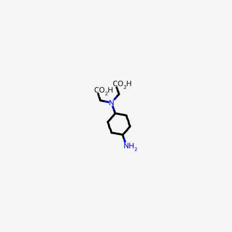 NC1CCC(N(CC(=O)O)CC(=O)O)CC1